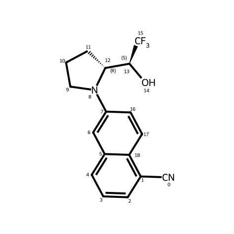 N#Cc1cccc2cc(N3CCC[C@@H]3[C@H](O)C(F)(F)F)ccc12